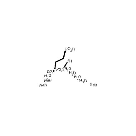 O.O.O.O.O.O=C(O)CCC(=O)O.O=S(=O)(O)S.[NaH].[NaH].[NaH]